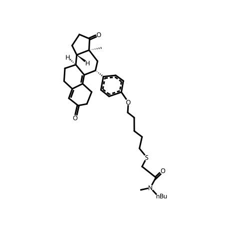 CCCCN(C)C(=O)CSCCCCCOc1ccc([C@H]2C[C@]3(C)C(=O)CC[C@H]3[C@@H]3CCC4=CC(=O)CCC4=C32)cc1